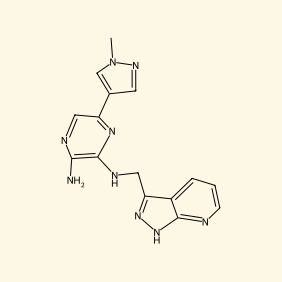 Cn1cc(-c2cnc(N)c(NCc3n[nH]c4ncccc34)n2)cn1